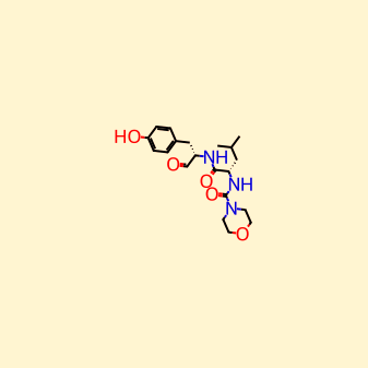 CC(C)C[C@H](NC(=O)N1CCOCC1)C(=O)N[C@H](C=O)Cc1ccc(O)cc1